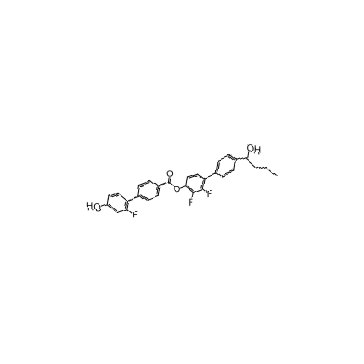 CCCC(O)c1ccc(-c2ccc(OC(=O)c3ccc(-c4ccc(O)cc4F)cc3)c(F)c2F)cc1